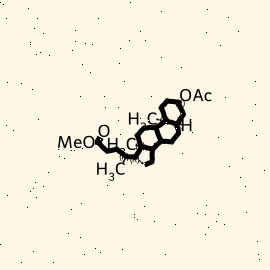 COC(=O)CC[C@@H](C)[C@H]1CCC2C3CC[C@@H]4C[C@H](OC(C)=O)CC[C@]4(C)C3CC[C@@]21C